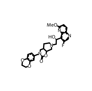 COc1ccc2ncc(F)c([C@H](O)CN3CCC4CN(c5ccc6c(c5)OCCO6)C(=O)OC4C3)c2n1